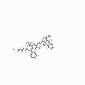 CCCC[C@@]1(CC)C[C@H](c2ccccc2)c2cc(Br)c(OCC(=O)N[C@H](Cc3ccccc3O)C(=O)O)cc2S(=O)(=O)C1